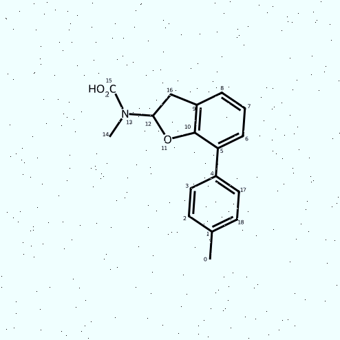 Cc1ccc(-c2cccc3c2OC(N(C)C(=O)O)C3)cc1